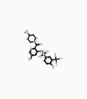 O=C(c1ncc(Cl)cc1NS(=O)(=O)c1ccc(Cl)c(C(F)(F)F)c1)N1CCC(O)CC1